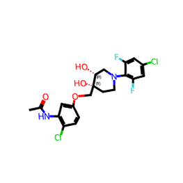 CC(=O)Nc1cc(OC[C@]2(O)CCN(c3c(F)cc(Cl)cc3F)C[C@H]2O)ccc1Cl